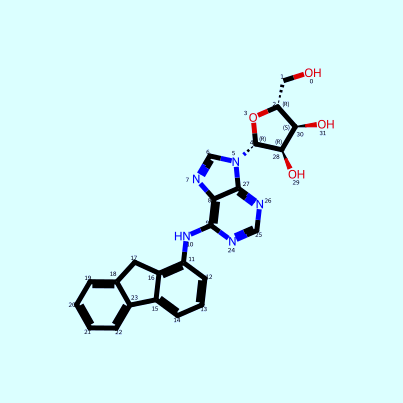 OC[C@H]1O[C@@H](n2cnc3c(Nc4cccc5c4Cc4ccccc4-5)ncnc32)[C@H](O)[C@@H]1O